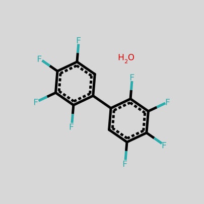 Fc1cc(-c2cc(F)c(F)c(F)c2F)c(F)c(F)c1F.O